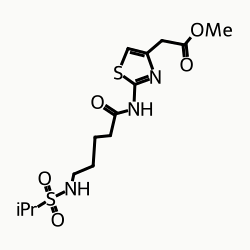 COC(=O)Cc1csc(NC(=O)CCCCNS(=O)(=O)C(C)C)n1